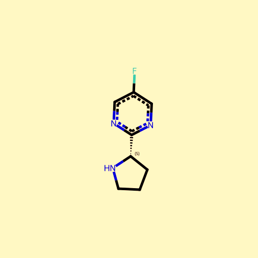 Fc1cnc([C@@H]2CCCN2)nc1